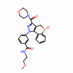 COCCNC(=O)c1cccc(-n2nc(C(=O)N3CCOCC3)c3c2-c2ccccc2[S+]([O-])C3)c1